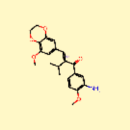 COc1ccc(C(=O)/C(=C/c2cc(OC)c3c(c2)OCCO3)C(C)C)cc1N